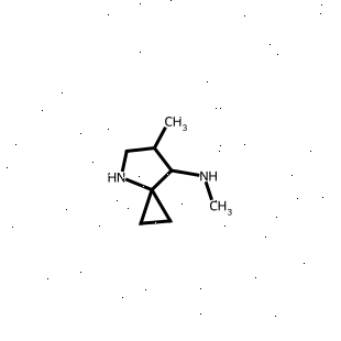 CNC1C(C)CNC12CC2